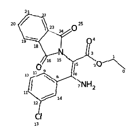 CCOC(=O)/C(=C(\N)c1cccc(Cl)c1)N1C(=O)c2ccccc2C1=O